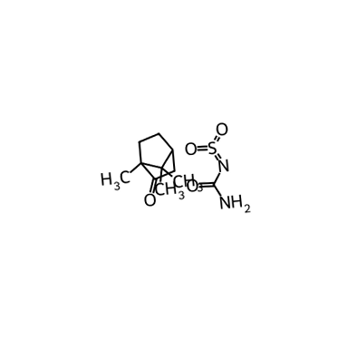 CC12CCC(CC1=O)C2(C)C.NC(=O)N=S(=O)=O